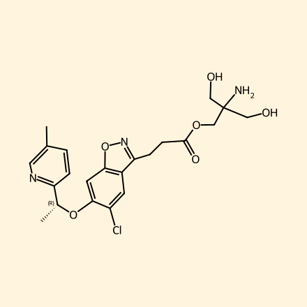 Cc1ccc([C@@H](C)Oc2cc3onc(CCC(=O)OCC(N)(CO)CO)c3cc2Cl)nc1